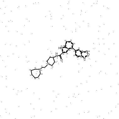 O=C(NC1CCN(CCN2CCCCCC2)CC1)c1cc2c(-c3ccc4nonc4c3)cccc2[nH]1